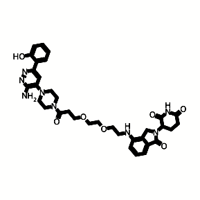 Nc1nnc(-c2ccccc2O)cc1N1CCN(C(=O)CCOCCOCCNc2cccc3c2CN(C2CCC(=O)NC2=O)C3=O)CC1